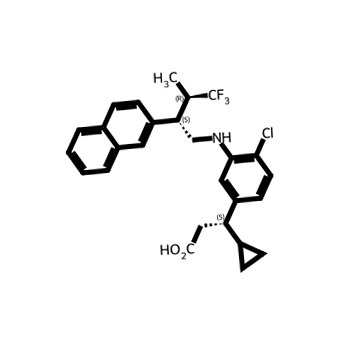 C[C@H]([C@H](CNc1cc([C@@H](CC(=O)O)C2CC2)ccc1Cl)c1ccc2ccccc2c1)C(F)(F)F